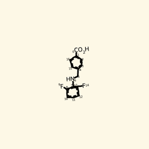 O=C(O)c1ccc(CNc2c(F)cccc2F)cc1